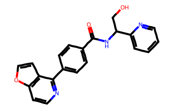 O=C(NC(CO)c1ccccn1)c1ccc(-c2nccc3occc23)cc1